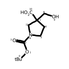 CC(C)(C)OC(=O)N1CCC(CO)(C(=O)O)C1